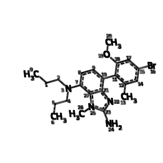 CCCN(CCC)c1ccc(-c2c(C)cc(Br)cc2OC)c2nc(N)n(C)c12